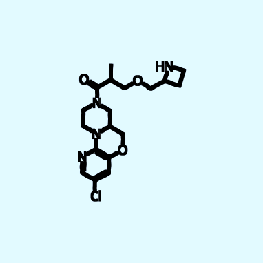 CC(COCC1CCN1)C(=O)N1CCN2c3ncc(Cl)cc3OCC2C1